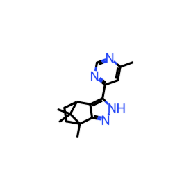 Cc1cc(-c2[nH]nc3c2C2CCC3(C)C2(C)C)ncn1